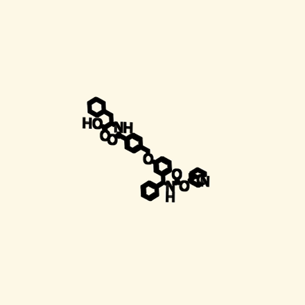 O=C(N[C@@H](c1ccccc1)c1cccc(OCc2ccc(C(=O)NC(CC3CCCCC3)C(=O)O)cc2)c1)OC1CN2CCC1CC2